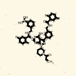 C=CC(=O)N1CCC[C@@H](n2nc(-c3cccc(CNC(=O)c4cc(F)ccc4F)c3)c3c(N)ncnc32)C1.O=C(NCc1cccc(B(O)O)c1)c1cc(F)ccc1F